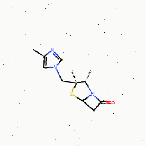 Cc1cn(C[C@]2(C)SC3CC(=O)N3[C@H]2C)cn1